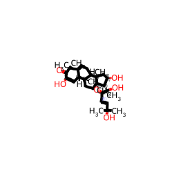 CC(C)(O)/C=C/C(=O)[C@](C)(O)[C@H]1[C@H](O)C[C@@]2(C)[C@@H]3CC=C4[C@@H](C=C(O)C(=O)C4(C)C)[C@]3(C)CC[C@]12C